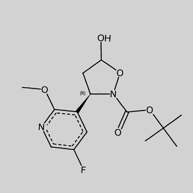 COc1ncc(F)cc1[C@H]1CC(O)ON1C(=O)OC(C)(C)C